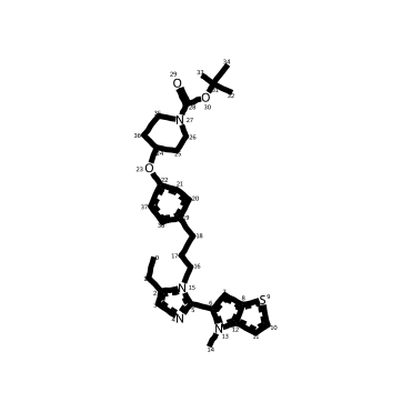 CCc1cnc(-c2cc3sccc3n2C)n1CCCc1ccc(OC2CCN(C(=O)OC(C)(C)C)CC2)cc1